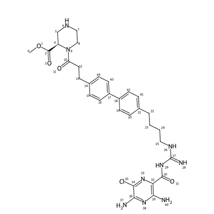 COC(=O)[C@H]1CNCCN1C(=O)CCc1ccc(-c2ccc(CCCCNC(=N)NC(=O)c3nc(Cl)c(N)nc3N)cc2)cc1